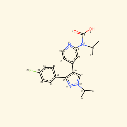 CC(C)N(C(=O)O)c1cc(-c2cn(C(C)C)nc2-c2ccc(F)cc2)ccn1